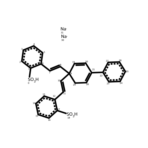 O=S(=O)(O)c1ccccc1C=CC1(C=Cc2ccccc2S(=O)(=O)O)C=CC(c2ccccc2)=CC1.[Na].[Na]